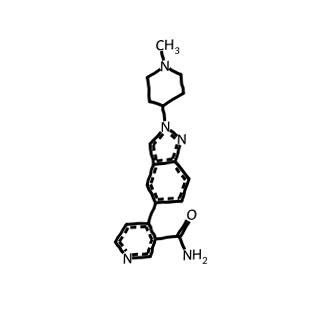 CN1CCC(n2cc3cc(-c4ccncc4C(N)=O)ccc3n2)CC1